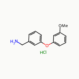 COc1cccc(Oc2cccc(CN)c2)c1.Cl